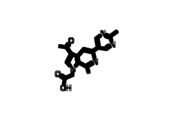 CC(=O)c1cn(CC(=O)O)c2c(C)nc(-c3cnc(C)nc3)cc12